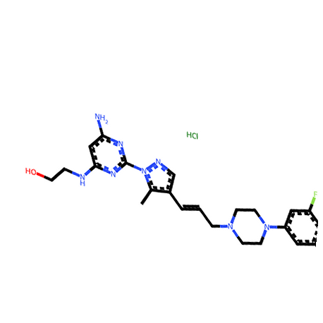 Cc1c(C=CCN2CCN(c3cc(F)cc(F)c3)CC2)cnn1-c1nc(N)cc(NCCO)n1.Cl